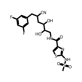 CS(=O)(=O)Nc1nc(C(=O)NCC(O)C(O)CC(C#N)Cc2cc(F)cc(F)c2)cs1